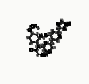 COC1CCC(N2C(=O)CNc3ncc(-c4cnc(-c5nc[nH]n5)cc4C)nc32)CC1